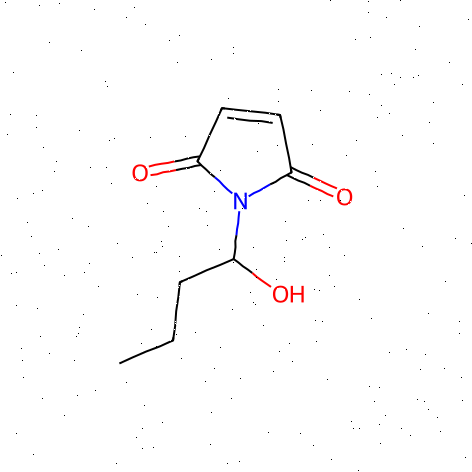 CCCC(O)N1C(=O)C=CC1=O